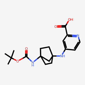 CC(C)(C)OC(=O)NC12CCC(Nc3ccnc(C(=O)O)c3)(CC1)C2